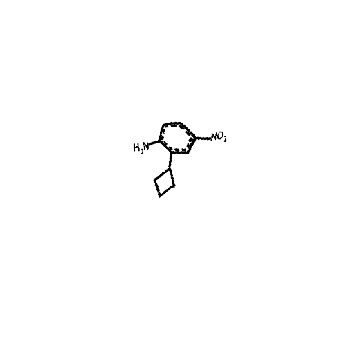 Nc1ccc([N+](=O)[O-])cc1C1CCC1